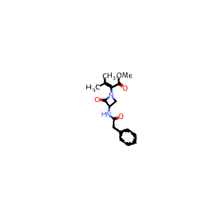 COC(=O)C(=C(C)C)N1CC(NC(=O)Cc2ccccc2)C1=O